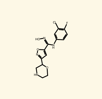 ON=C(Nc1ccc(F)c(Cl)c1)c1cc(C2CNCCO2)no1